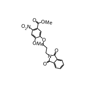 COC(=O)c1cc(OCCCN2C(=O)c3ccccc3C2=O)c(OC)cc1[N+](=O)[O-]